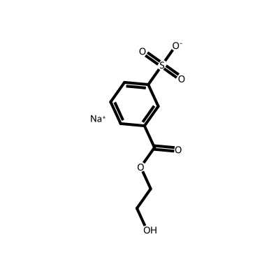 O=C(OCCO)c1cccc(S(=O)(=O)[O-])c1.[Na+]